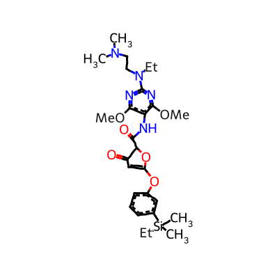 CCN(CCN(C)C)c1nc(OC)c(NC(=O)C2OC(Oc3cccc([Si](C)(C)CC)c3)=CC2=O)c(OC)n1